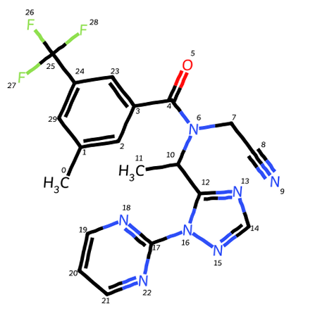 Cc1cc(C(=O)N(CC#N)C(C)c2ncnn2-c2ncccn2)cc(C(F)(F)F)c1